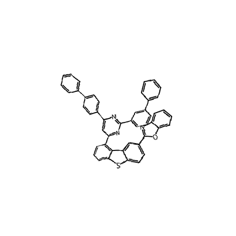 c1ccc(-c2ccc(-c3cc(-c4cccc5sc6ccc(-c7nc8ccccc8o7)cc6c45)nc(-c4cccc(-c5ccccc5)c4)n3)cc2)cc1